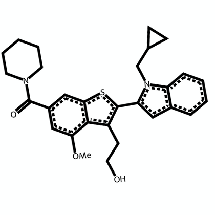 COc1cc(C(=O)N2CCCCC2)cc2sc(-c3cc4ccccc4n3CC3CC3)c(CCO)c12